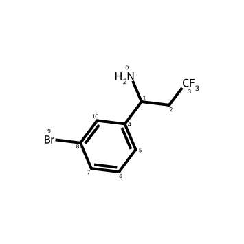 NC(CC(F)(F)F)c1cccc(Br)c1